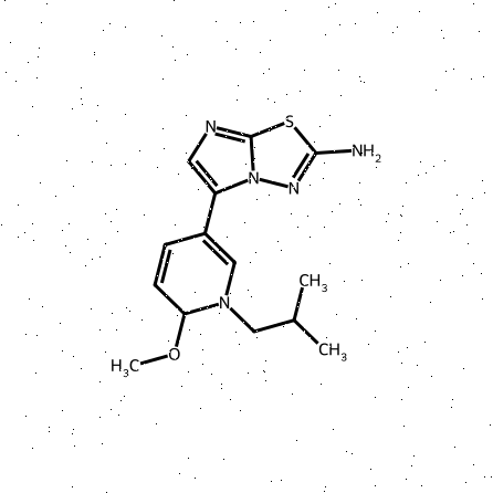 COC1C=CC(c2cnc3sc(N)nn23)=CN1CC(C)C